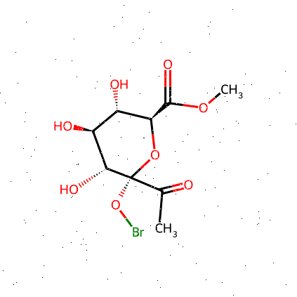 COC(=O)[C@H]1O[C@@](OBr)(C(C)=O)[C@H](O)[C@@H](O)[C@@H]1O